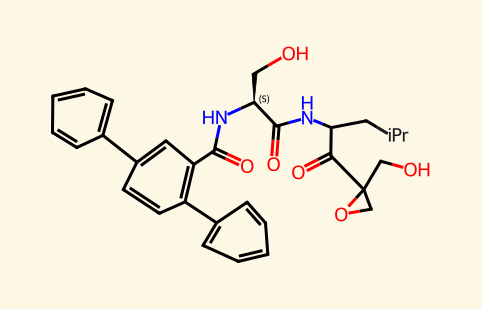 CC(C)CC(NC(=O)[C@H](CO)NC(=O)c1cc(-c2ccccc2)ccc1-c1ccccc1)C(=O)C1(CO)CO1